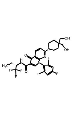 CC[C@H](NC(=O)c1cn(-c2c(F)cc(F)cc2F)c2nc(N3CCC(CO)(CO)CC3)ccc2c1=O)C(F)(F)F